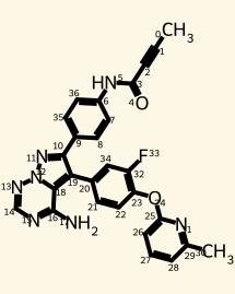 CC#CC(=O)Nc1ccc(-c2nn3ncnc(N)c3c2-c2ccc(Oc3cccc(C)n3)c(F)c2)cc1